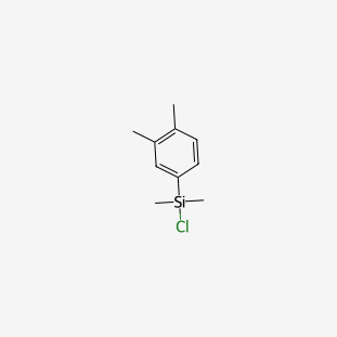 Cc1ccc([Si](C)(C)Cl)cc1C